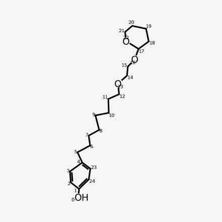 Oc1ccc(CCCCCCCCOCCOC2CCCCO2)cc1